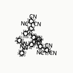 N#Cc1cc(C#N)c(-c2ccc3c(c2)c2ccccc2n3-c2ccc(C#N)c(-c3cc(-c4nc(-c5ccccc5)nc(-c5ccccc5)n4)ccc3-n3c4ccccc4c4cc(-c5c(C#N)cc(C#N)cc5C#N)ccc43)c2)c(C#N)c1